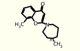 Cc1cccc2c(=O)cc(N3CCC[C@@H](C)CC3)oc12